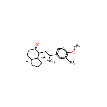 CCCCOc1ccc(C(CC2C(=O)CC[C@]3(C)CCC[C@@H]23)[N+](=O)[O-])cc1[N+](=O)[O-]